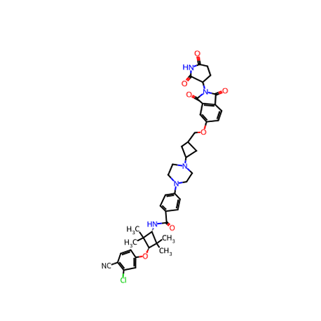 CC1(C)[C@H](NC(=O)c2ccc(N3CCN(C4CC(COc5ccc6c(c5)C(=O)N(C5CCC(=O)NC5=O)C6=O)C4)CC3)cc2)C(C)(C)[C@H]1Oc1ccc(C#N)c(Cl)c1